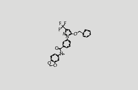 CN(C(=O)c1cccc(-n2nc(C(F)(F)F)cc2OCc2ccccc2)c1)c1ccc2c(c1)OCO2